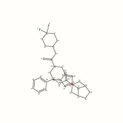 O=C(CC1CCC(F)(F)CC1)N1CCn2nc(N3C4CCC3CN(C(=O)OCc3ccccc3)C4)nc2C1